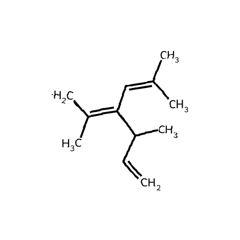 [CH2]C(C)=C(C=C(C)C)C(C)C=C